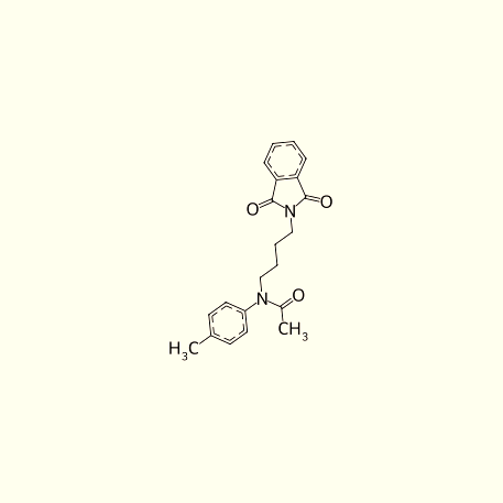 CC(=O)N(CCCCN1C(=O)c2ccccc2C1=O)c1ccc(C)cc1